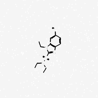 CCN(CC)S(=O)(=O)c1nc2ccc([N+](=O)[O-])cc2n1CC